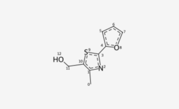 Cc1nc(-c2ccco2)sc1CO